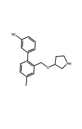 N#Cc1cccc(-c2ccc(F)cc2COC2CCNC2)c1